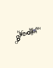 C[C@H]1CN(c2ccc(S(=O)(=O)N/C(S)=N/C=N)cc2)CCN1C(=O)CN1CCCc2cc(Cl)ccc21